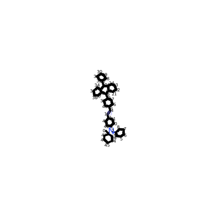 CC1(N(c2ccccc2)c2ccc(/C=C/c3ccc(-c4c5ccccc5c(-c5ccccc5)c5ccccc45)cc3)cc2)C=CC=CC1